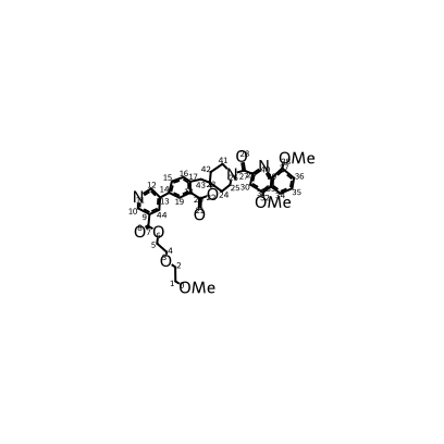 COCCOCCOC(=O)c1cncc(-c2ccc3c(c2)C(=O)OC2(CCN(C(=O)c4cc(OC)c5cccc(OC)c5n4)CC2)C3)c1